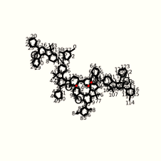 Cc1ccc(N(c2ccc3c(c2)C(C)(C)c2cc(-c4ccccc4)c4oc5ccccc5c4c2-3)c2ccc3c(c2)C(C)(C)c2cc(-c4ccccc4)c4oc5cc(-c6cccc(-c7ccccc7N(c7ccc8c(c7)C(C)(C)c7cc(-c9cc(C)ccc9C)c9oc%10ccccc%10c9c7-8)c7ccc8c(c7)C(C)(C)c7cc(-c9cc(C)ccc9C)c9oc%10ccccc%10c9c7-8)c6)ccc5c4c2-3)c(C)c1